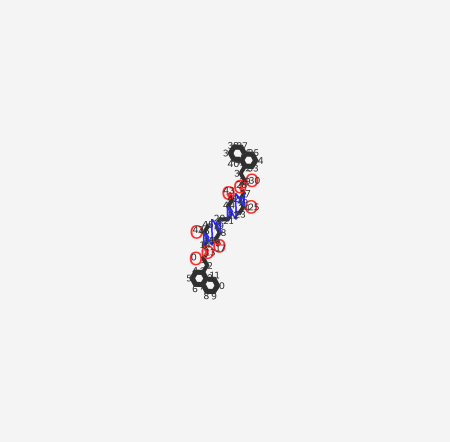 O=C(Cc1cccc2ccccc12)OCN1C(=O)CN(CCN2CC(=O)N(COC(=O)Cc3cccc4ccccc34)C(=O)C2)CC1=O